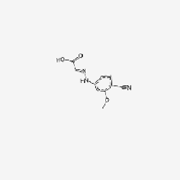 COc1cc(N/N=C/C(=O)O)ccc1C#N